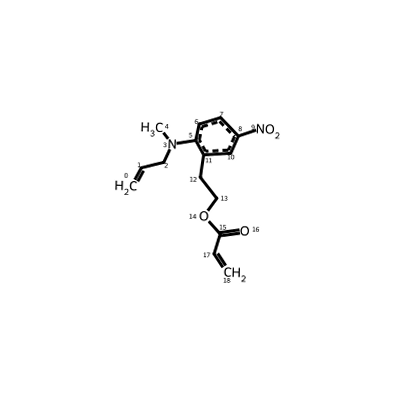 C=CCN(C)c1ccc([N+](=O)[O-])cc1CCOC(=O)C=C